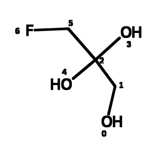 OCC(O)(O)CF